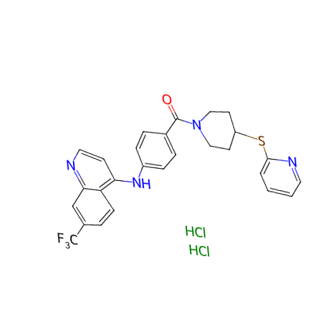 Cl.Cl.O=C(c1ccc(Nc2ccnc3cc(C(F)(F)F)ccc23)cc1)N1CCC(Sc2ccccn2)CC1